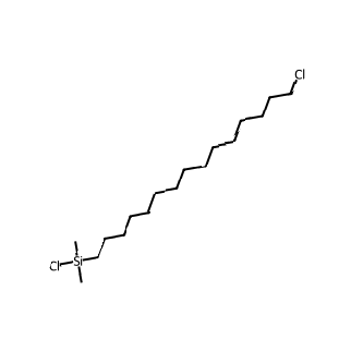 C[Si](C)(Cl)CCCCCCCCCCCCCCCCl